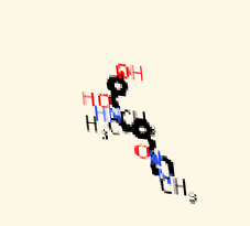 CN1CCCN(C(=O)Cc2cccc(CC(C)(C)NCC(O)c3ccc(O)cc3)c2)CC1